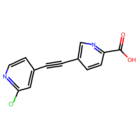 O=C(O)c1ccc(C#Cc2ccnc(Cl)c2)cn1